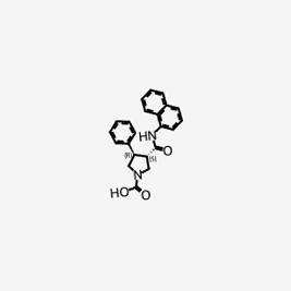 O=C(Nc1cccc2ccccc12)[C@@H]1CN(C(=O)O)C[C@H]1c1ccccc1